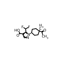 CC(=O)[C@]1(C)CC[C@@H](n2ncc(C(=O)O)c2C(F)F)CC1